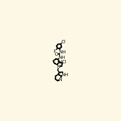 Cl.O=C(Nc1cc(Cl)ccc1F)Nc1cccc2c1ccn2Cc1c[nH]c2ncccc12